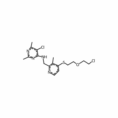 Cc1nc(C)c(Cl)c(NCc2nccc(SCCOCCCl)c2C)n1